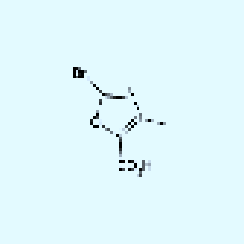 Cc1nc(Br)oc1C(=O)O